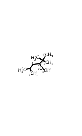 CC(C)C[C](OO)C(C)(C)C